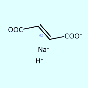 O=C([O-])/C=C/C(=O)[O-].[H+].[Na+]